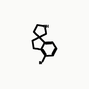 Brc1cccc2c1CCC21CCNC1